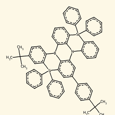 CC(C)(C)c1ccc(-c2cc3c4c(c2)[Si](c2ccccc2)(c2ccccc2)c2cc(C(C)(C)C)ccc2B4c2cccc4c2N3c2ccccc2[Si]4(c2ccccc2)c2ccccc2)cc1